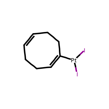 [I][Pt]([I])[C]1=CCCC=CCC1